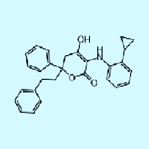 O=C1OC(CCc2ccccc2)(c2ccccc2)CC(O)=C1Nc1ccccc1C1CC1